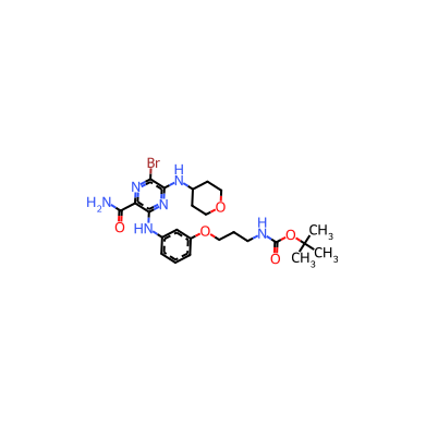 CC(C)(C)OC(=O)NCCCOc1cccc(Nc2nc(NC3CCOCC3)c(Br)nc2C(N)=O)c1